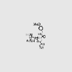 COc1ccc(CNC(=O)[C@H](CCC(=O)C=N)NC(=O)[C@H](CC(N)=O)NC(C)=O)cc1